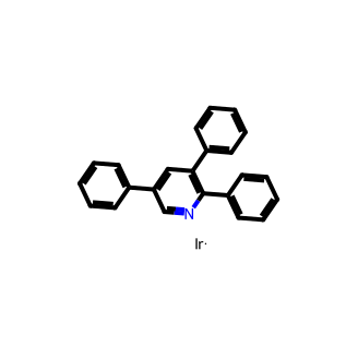 [Ir].c1ccc(-c2cnc(-c3ccccc3)c(-c3ccccc3)c2)cc1